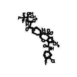 Cn1cc2c(c1C(=O)Nc1ccc(F)c(Cl)c1)OCC1(CCN(C(=O)C(=O)NC(C)(O)C(F)(F)F)CC1)NS2(=O)=O